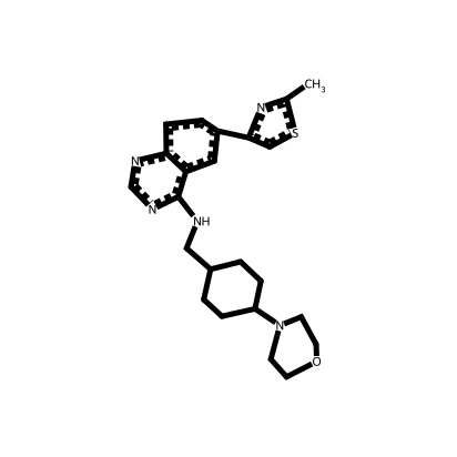 Cc1nc(-c2ccc3ncnc(NCC4CCC(N5CCOCC5)CC4)c3c2)cs1